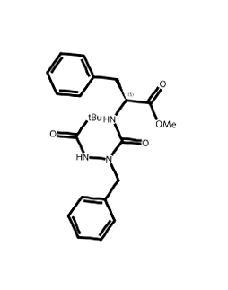 COC(=O)[C@H](Cc1ccccc1)NC(=O)N(Cc1ccccc1)NC(=O)C(C)(C)C